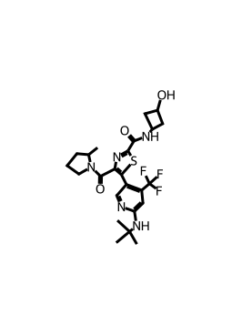 CC1CCCN1C(=O)c1nc(C(=O)NC2CC(O)C2)sc1-c1cnc(NC(C)(C)C)cc1C(F)(F)F